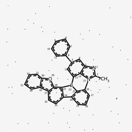 Cc1nc2cc(-c3ccccc3)cc3c2n1-c1cccc2c1B3c1c-2ccc2c1oc1ccccc12